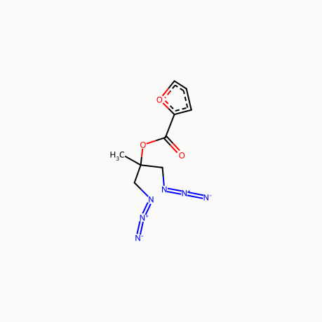 CC(CN=[N+]=[N-])(CN=[N+]=[N-])OC(=O)c1ccco1